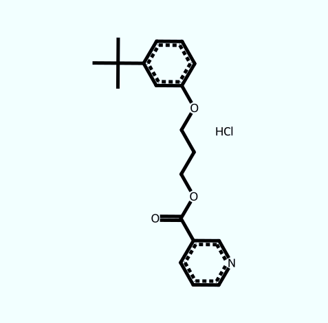 CC(C)(C)c1cccc(OCCCOC(=O)c2cccnc2)c1.Cl